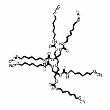 N#COCCCCCCNC(=O)OCC(COCC(COC(=O)NCCCCCCN=C=O)(COC(=O)NCCCCCCN=C=O)OC(=O)NCCCCCCN=C=O)(COC(=O)NCCCCCCOC#N)OC(=O)NCCCCCCOC#N